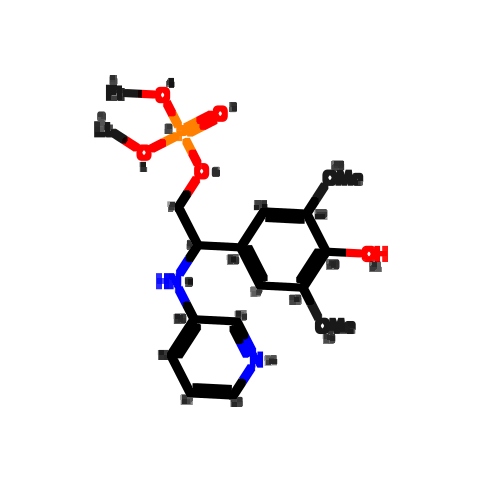 CCOP(=O)(OCC)OCC(Nc1cccnc1)c1cc(OC)c(O)c(OC)c1